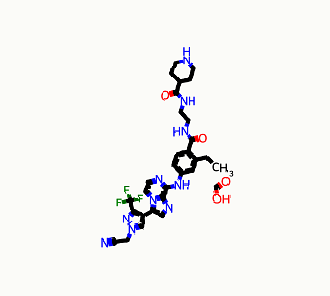 CCc1cc(Nc2nccn3c(-c4cn(CC#N)nc4C(F)(F)F)cnc23)ccc1C(=O)NCCNC(=O)C1CCNCC1.O=CO